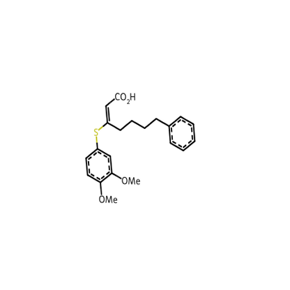 COc1ccc(SC(=CC(=O)O)CCCCc2ccccc2)cc1OC